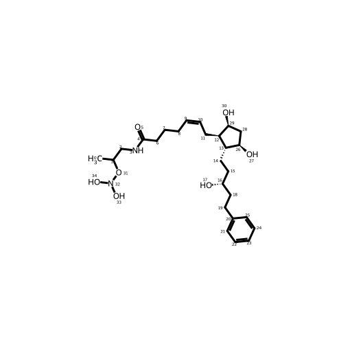 CC(CNC(=O)CCC/C=C\C[C@@H]1[C@@H](CC[C@@H](O)CCc2ccccc2)[C@H](O)C[C@@H]1O)ON(O)O